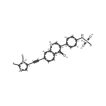 Cc1ncc(C#Cc2ccc3c(=O)c(-c4ccc(NS(C)(=O)=O)cc4)coc3c2)n1C